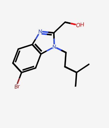 CC(C)CCn1c(CO)nc2ccc(Br)cc21